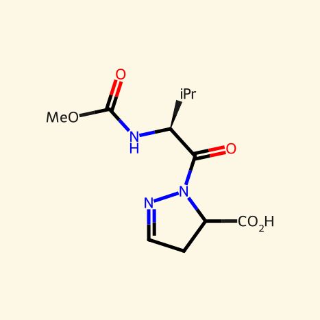 COC(=O)N[C@H](C(=O)N1N=CCC1C(=O)O)C(C)C